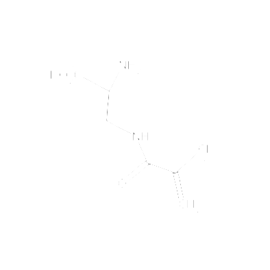 C=C(C)C(=O)NCC(N)C(=O)O